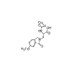 COC(=O)N[C@H](CN1Cc2ccc(OC)cc2C1=O)C(=O)O